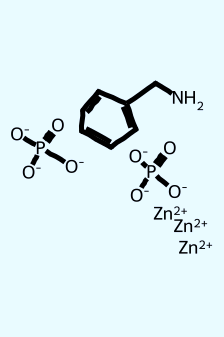 NCc1ccccc1.O=P([O-])([O-])[O-].O=P([O-])([O-])[O-].[Zn+2].[Zn+2].[Zn+2]